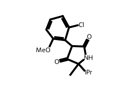 COc1cccc(Cl)c1C1C(=O)NC(C)(C(C)C)C1=O